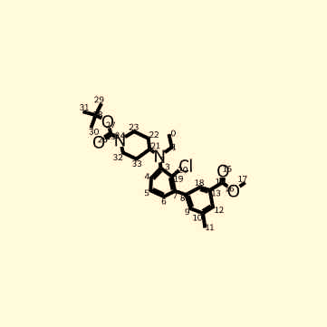 CCN(c1cccc(-c2cc(C)cc(C(=O)OC)c2)c1Cl)C1CCN(C(=O)OC(C)(C)C)CC1